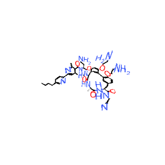 CCCCc1ccc(-c2cc(C)c(C(=O)N[C@@H](CCN)C(=O)N(C)[C@@H]3C(=O)N[C@@H](C)C(=O)N[C@H](C(=O)NCC#N)Cc4ccc(OCCN)c(c4)-c4cc3ccc4OCCN)c(C)n2)nc1